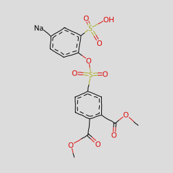 COC(=O)c1ccc(S(=O)(=O)Oc2cc[c]([Na])cc2S(=O)(=O)O)cc1C(=O)OC